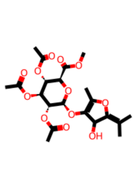 COC(=O)[C@H]1O[C@@H](OC2=C(C)OC(=C(C)C)C2O)[C@H](OC(C)=O)[C@@H](OC(C)=O)[C@@H]1OC(C)=O